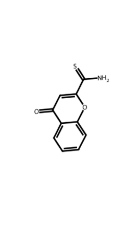 NC(=S)c1cc(=O)c2ccccc2o1